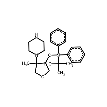 CC1(N2CCNCC2)COCC1O[Si](c1ccccc1)(c1ccccc1)C(C)(C)C